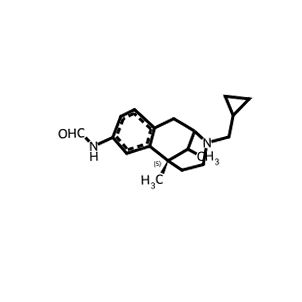 CC1C2Cc3ccc(NC=O)cc3[C@@]1(C)CCN2CC1CC1